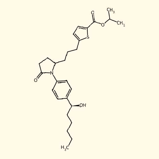 CCCCC[C@H](O)c1ccc(N2C(=O)CCC2CCCc2ccc(C(=O)OC(C)C)s2)cc1